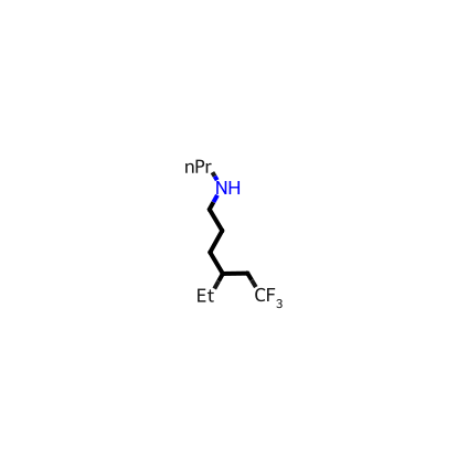 CCCNCCCC(CC)CC(F)(F)F